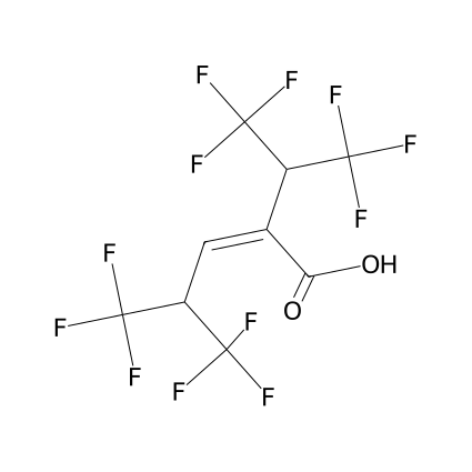 O=C(O)C(=CC(C(F)(F)F)C(F)(F)F)C(C(F)(F)F)C(F)(F)F